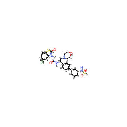 CN(C(=O)Cn1c(=O)sc2ccc(Cl)cc21)C(CN1CCOCC1)c1ccc(-c2cccc(NS(C)(=O)=O)c2)cc1